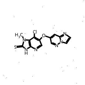 Cn1c(=S)[nH]c2ncc(Oc3cnn4ccnc4c3)c(Cl)c21